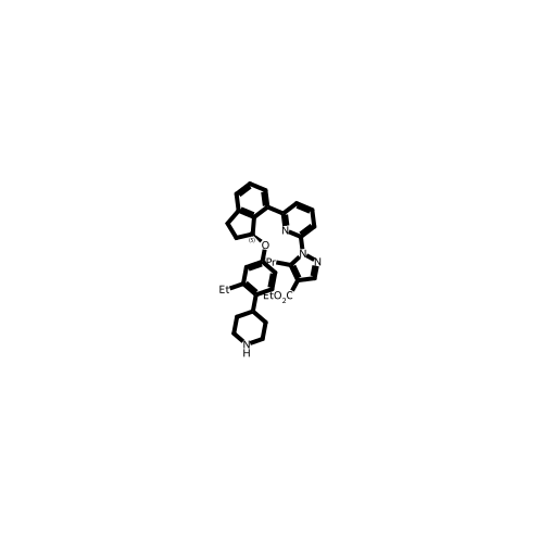 CCOC(=O)c1cnn(-c2cccc(-c3cccc4c3[C@@H](Oc3ccc(C5CCNCC5)c(CC)c3)CC4)n2)c1C(C)C